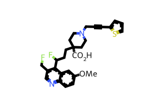 COc1ccc2ncc(CF)c(C(F)CCC3(C(=O)O)CCN(CC#Cc4cccs4)CC3)c2c1